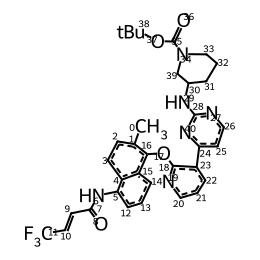 Cc1ccc2c(NC(=O)C=CC(F)(F)F)cccc2c1Oc1ncccc1-c1ccnc(NC2CCCN(C(=O)OC(C)(C)C)C2)n1